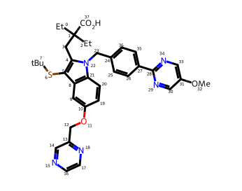 CCC(CC)(Cc1c(SC(C)(C)C)c2cc(OCc3cnccn3)ccc2n1Cc1ccc(-c2ncc(OC)cn2)cc1)C(=O)O